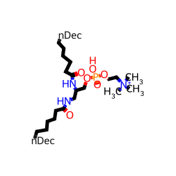 CCCCCCCCCCCCCCCC(=O)NCC(COP(=O)(O)OCC[N+](C)(C)C)NC(=O)CCCCCCCCCCCCCCC